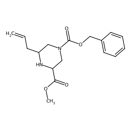 C=CCC1CN(C(=O)OCc2ccccc2)CC(C(=O)OC)N1